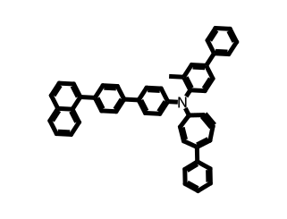 Cc1cc(-c2ccccc2)ccc1N(c1ccc(-c2ccc(-c3cccc4ccccc34)cc2)cc1)C1C#CC=C(c2ccccc2)C=C1